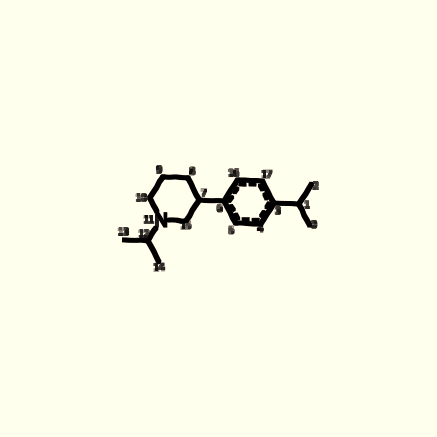 CC(C)c1ccc(C2CCCN(C(C)C)C2)cc1